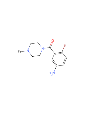 CCN1CCN(C(=O)c2cc(N)ccc2Br)CC1